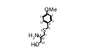 COc1ccc(CSC[C@H](N)CO)cc1